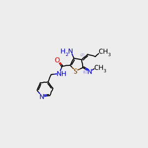 CC/C=C1/C(N)=C(C(=O)NCc2ccncc2)S/C1=N/C